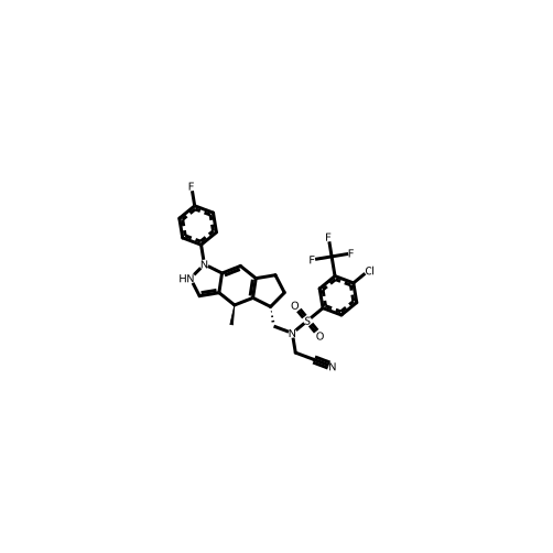 C[C@H]1C2=CNN(c3ccc(F)cc3)C2=CC2=C1[C@@H](CN(CC#N)S(=O)(=O)c1ccc(Cl)c(C(F)(F)F)c1)CC2